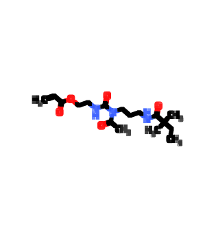 C=CC(=O)OCCNC(=O)N(CCCNC(=O)C(C)(C)CC)C(C)=O